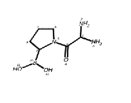 NC(N)C(=O)N1CCCC1B(O)O